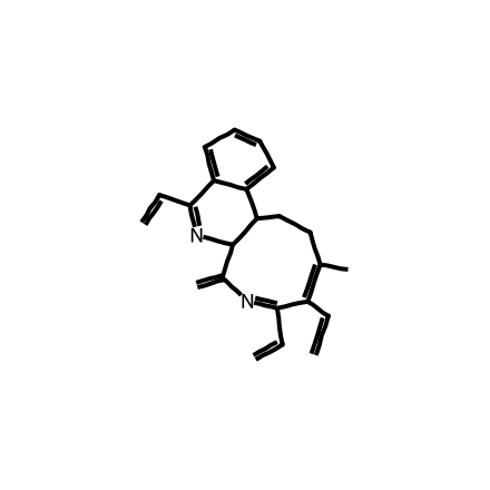 C=CC1=NC2C(=C)/N=C(C=C)\C(C=C)=C(\C)CCC2c2ccccc21